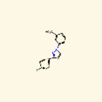 O=C(O)c1cccc(-n2ccc(-c3ccc(F)cc3)n2)c1